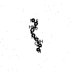 Cc1c(C(=O)NC2CCN(c3ccc(CN4CCC(NC(=O)c5ccc(F)c(-c6cccnc6)c5)CC4)cn3)CC2)cccc1-c1cccnc1